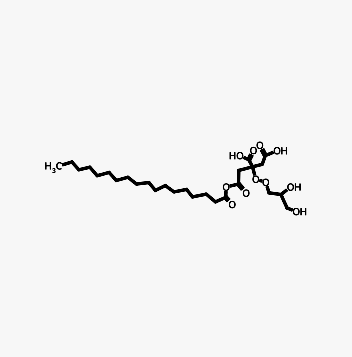 CCCCCCCCCCCCCCCCCC(=O)OC(=O)CC(CC(=O)O)(OOCC(O)CO)C(=O)O